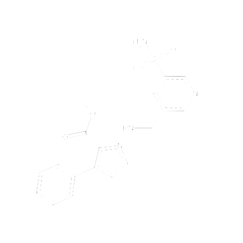 COC(=O)c1c(-c2ccccc2)ccn1NCc1cncc(S(N)(=O)=O)c1